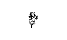 O=C(c1ccc(F)cc1)c1ccccc1[N+](=O)[O-]